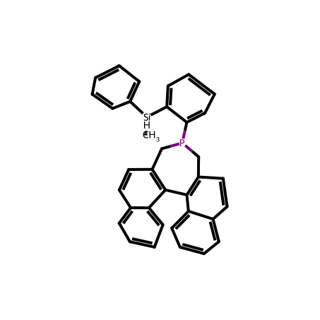 C[Si@H](c1ccccc1)c1ccccc1P1Cc2ccc3ccccc3c2-c2c(ccc3ccccc23)C1